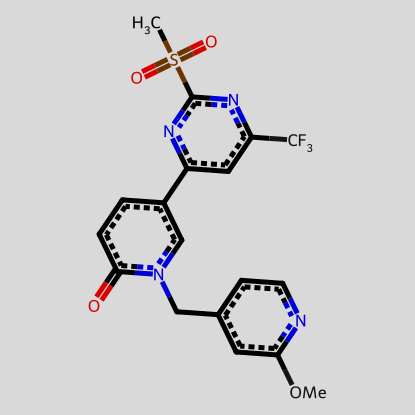 COc1cc(Cn2cc(-c3cc(C(F)(F)F)nc(S(C)(=O)=O)n3)ccc2=O)ccn1